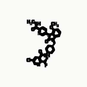 CNC(=O)c1ccc(-n2c(=O)n(C[C@H]3CC[C@H](NC(=O)c4cc(Cl)cnc4C(F)F)CC3)c3cccc(OC)c32)cn1